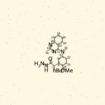 CCCCC(C(=O)NN)c1cc(N(C)c2nc(C)nc3ccccc23)ccc1OC